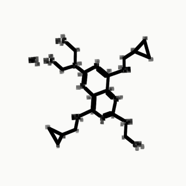 CCNc1nc(NCC2CC2)c2nc(N(CC)CC)nc(NCC3CC3)c2n1.Cl